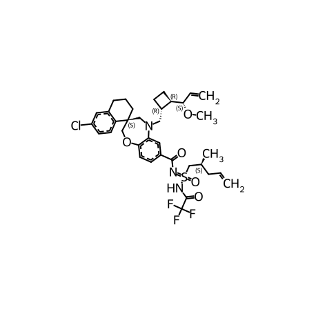 C=CC[C@H](C)CS(=O)(=NC(=O)c1ccc2c(c1)N(C[C@@H]1CC[C@H]1[C@H](C=C)OC)C[C@@]1(CCCc3cc(Cl)ccc31)CO2)NC(=O)C(F)(F)F